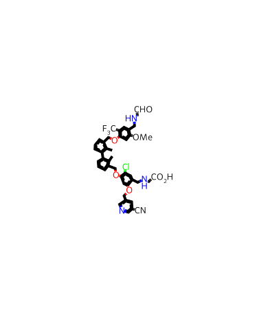 COc1cc(OCc2cccc(-c3cccc(COc4cc(OCc5cncc(C#N)c5)c(CNCC(=O)O)cc4Cl)c3C)c2C)c(C(F)(F)F)cc1CNCC=O